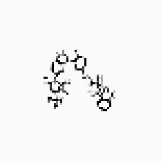 Cc1ccc(OCC(=O)NS(=O)(=O)c2ccccc2Cl)cc1-c1nsc2ccc(-n3c(=O)cc(C(F)(F)F)n(C)c3=O)cc12